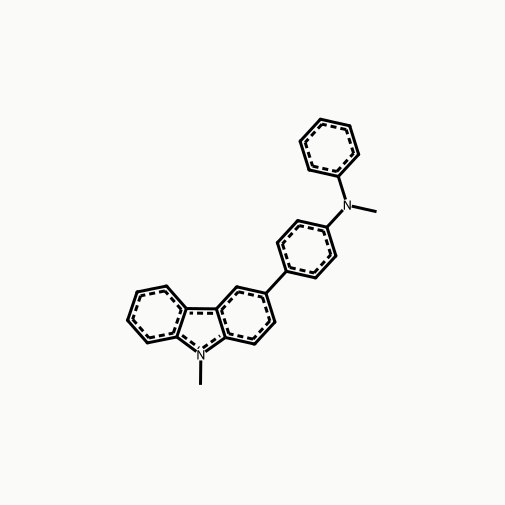 CN(c1ccccc1)c1ccc(-c2ccc3c(c2)c2ccccc2n3C)cc1